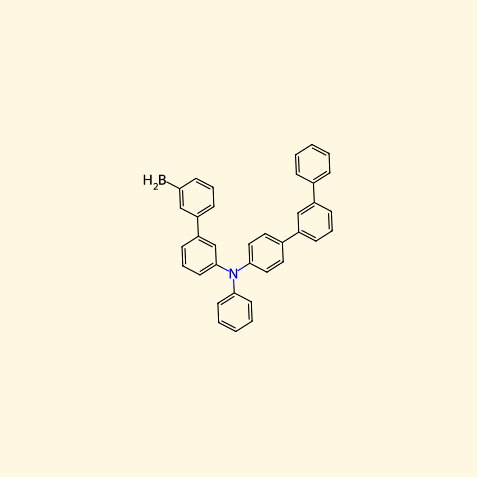 Bc1cccc(-c2cccc(N(c3ccccc3)c3ccc(-c4cccc(-c5ccccc5)c4)cc3)c2)c1